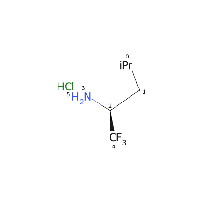 CC(C)C[C@H](N)C(F)(F)F.Cl